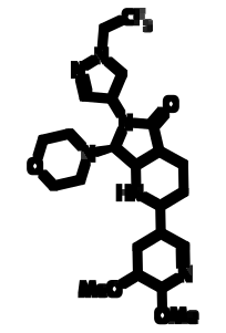 COC1CC(C2CCC3C(=O)N(C4C=NN(CC(F)(F)F)C4)[C@H](N4CCOCC4)C3N2)C=NC1OC